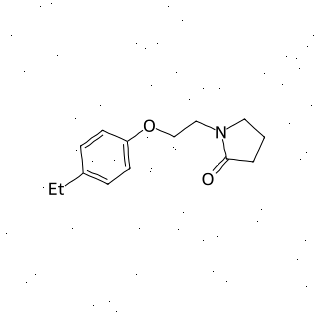 CCc1ccc(OCCN2CCCC2=O)cc1